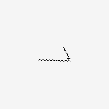 CCCCCCCCCCCCCCCCCCCC(C)C(C)(C)CCCCCCCC